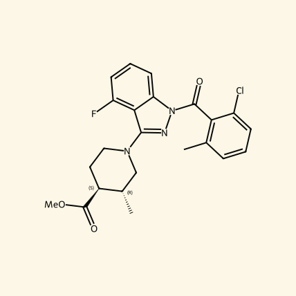 COC(=O)[C@H]1CCN(c2nn(C(=O)c3c(C)cccc3Cl)c3cccc(F)c23)C[C@@H]1C